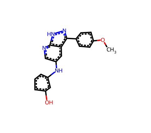 COc1ccc(-c2n[nH]c3ncc(Nc4cccc(O)c4)cc23)cc1